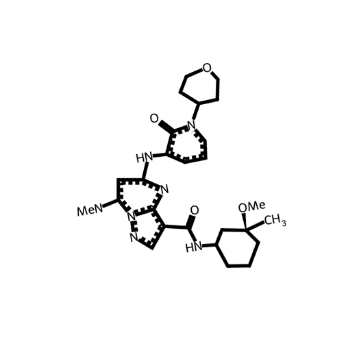 CNc1cc(Nc2cccn(C3CCOCC3)c2=O)nc2c(C(=O)NC3CCC[C@](C)(OC)C3)cnn12